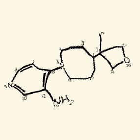 CC1(C2CCN(c3ccncc3N)CC2)COC1